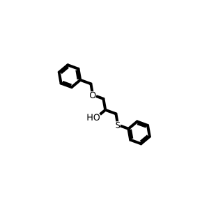 OC(COCc1ccccc1)CSc1ccccc1